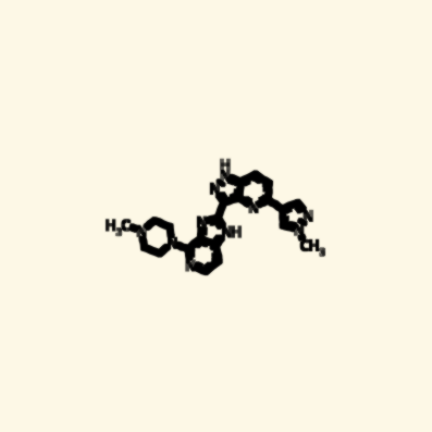 CN1CCN(c2nccc3[nH]c(-c4n[nH]c5ccc(-c6cnn(C)c6)nc45)nc23)CC1